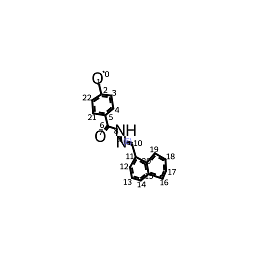 COc1ccc(C(=O)N/N=C/c2cccc3ccccc23)cc1